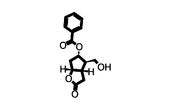 O=C1C[C@H]2[C@H](CO)[C@@H](OC(=O)c3ccccc3)C[C@H]2O1